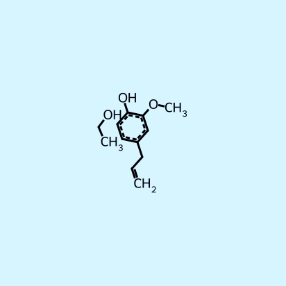 C=CCc1ccc(O)c(OC)c1.CCO